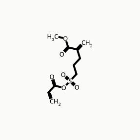 C=CC(=O)OS(=O)(=O)CCCC(=C)C(=O)OC